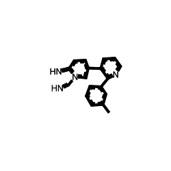 Cc1cccc(-c2ncccc2-c2ccc(=N)n(C=N)c2)c1